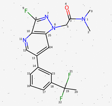 CN(C)C(=O)Cn1nc(F)c2ncc(-c3cccc(C(C)(F)F)c3)cc21